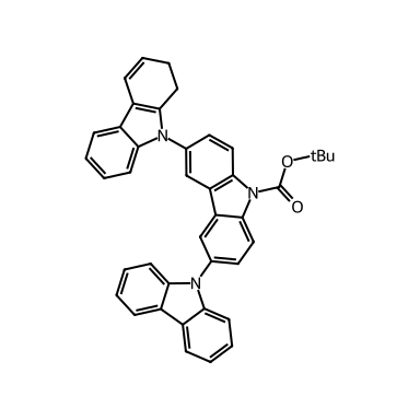 CC(C)(C)OC(=O)n1c2ccc(-n3c4c(c5ccccc53)C=CCC4)cc2c2cc(-n3c4ccccc4c4ccccc43)ccc21